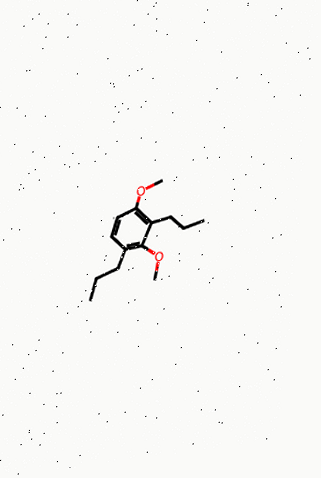 CCCc1c[c]c(OC)c(CCC)c1OC